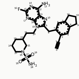 C#Cc1cc2c(cc1Cc1nc3c(N)nc(F)nc3n1CCC1CCCN(S(N)(=O)=O)C1)CCC2